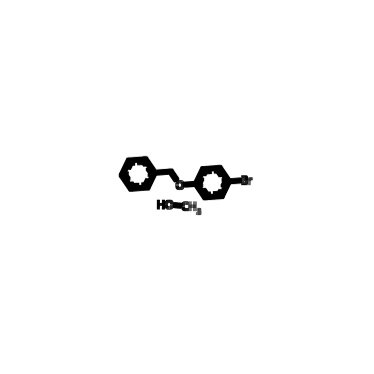 Brc1ccc(OCc2ccccc2)cc1.CO